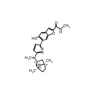 CNC(=O)c1cc2cc(O)c(-c3ccc(N(C)[C@@H]4C[C@]5(C)CC[C@](C)(C4)N5)nn3)cc2o1